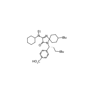 CCN(C1=NC2(CCC(C(C)(C)C)CC2)N([C@H](CCC(C)(C)C)c2ccc(C(=O)O)cc2)C1=O)C1CCCCC1